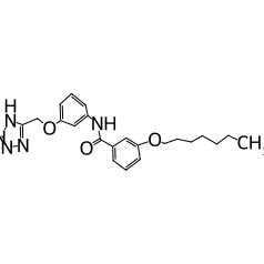 CCCCCCCOc1cccc(C(=O)Nc2cccc(OCc3nnn[nH]3)c2)c1